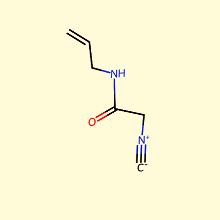 [C-]#[N+]CC(=O)NCC=C